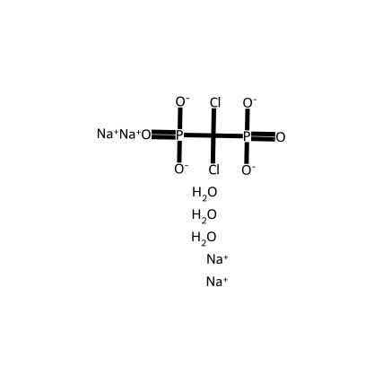 O.O.O.O=P([O-])([O-])C(Cl)(Cl)P(=O)([O-])[O-].[Na+].[Na+].[Na+].[Na+]